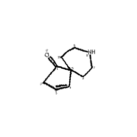 O=C1CC=CC12CCNCC2